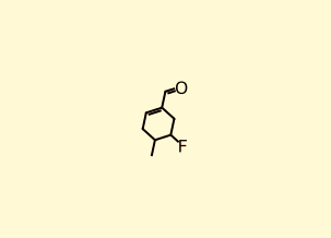 CC1CC=C(C=O)CC1F